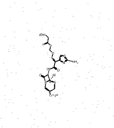 CCCCCCCCCCCC(=O)OCON=C(C(=O)NC1C(=O)N2C=C(C(=O)O)CS[C@H]12)c1csc(N)n1